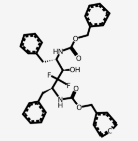 O=C(N[C@@H](Cc1ccccc1)[C@@H](O)C(F)(F)[C@H](Cc1ccccc1)NC(=O)OCc1ccccc1)OCc1ccccc1